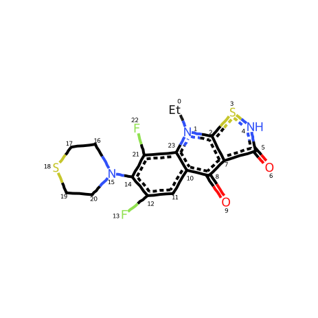 CCn1c2s[nH]c(=O)c2c(=O)c2cc(F)c(N3CCSCC3)c(F)c21